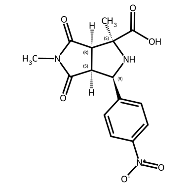 CN1C(=O)[C@H]2[C@@H](C1=O)[C@@](C)(C(=O)O)N[C@H]2c1ccc([N+](=O)[O-])cc1